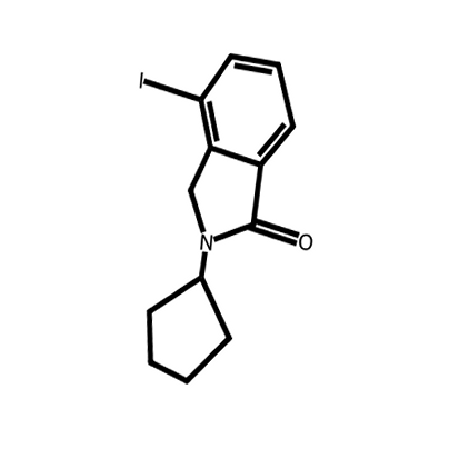 O=C1c2cccc(I)c2CN1C1CCCC1